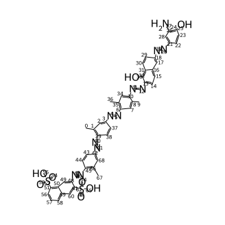 Cc1cc(N=Nc2cc(C)c(N=Nc3ccc4cc(N=Nc5ccc(O)c(N)c5)ccc4c3O)cc2C)ccc1N=Nc1ccc(N=Nc2cc3c(S(=O)(=O)O)cccc3cc2S(=O)(=O)O)c(C)c1